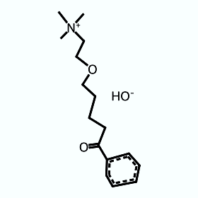 C[N+](C)(C)CCOCCCCC(=O)c1ccccc1.[OH-]